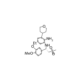 CCOc1cc([C@@H](CS(C)(=O)=O)Nc2cccc(C3CCOCC3)c2N)ccc1OC